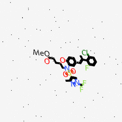 COC(=O)CCC1CN(S(=O)(=O)c2cn(C(F)F)nc2C)c2cc(/C=C(\C)c3c(F)cccc3Cl)ccc2O1